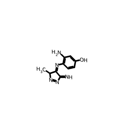 CC1N=NC(=N)C1=Nc1ccc(O)cc1N